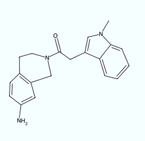 Cn1cc(CC(=O)N2CCc3ccc(N)cc3C2)c2ccccc21